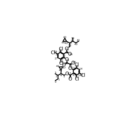 CCC(C)C(COC(=O)c1c(Cl)c(Cl)cc(Cl)c1OC(=O)C(=O)Oc1c(Cl)cc(Cl)c(Cl)c1C(=O)OCC(C(C)CC)C1CC1)C1CC1